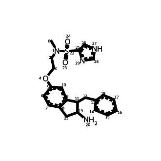 CN(CCOc1ccc2c(c1)C(Cc1ccccc1)C(N)C2)S(=O)(=O)c1c[nH]cn1